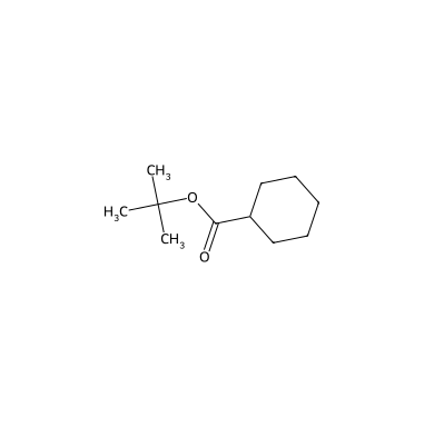 CC(C)(C)OC(=O)C1CCCCC1